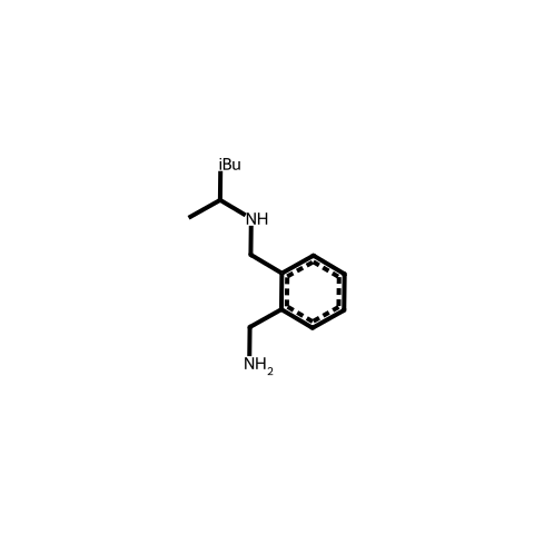 CCC(C)C(C)NCc1ccccc1CN